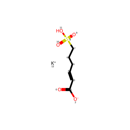 O=C([O-])C=CCCCS(=O)(=O)O.[K+]